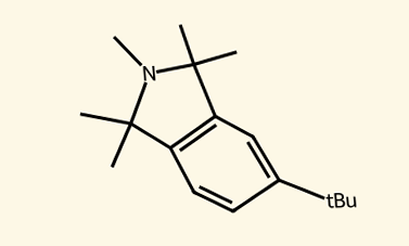 CN1C(C)(C)c2ccc(C(C)(C)C)cc2C1(C)C